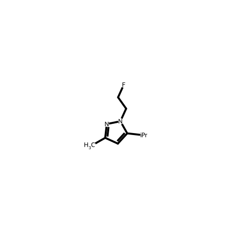 Cc1cc(C(C)C)n(CCF)n1